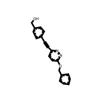 OCc1ccc(C#Cc2ccc(OCc3ccccc3)nn2)cc1